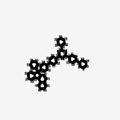 c1ccc(-c2ccc(-c3nc(-c4ccccc4)nc(-c4ccc(-c5ccc(C6(c7ccccc7)c7ccccc7-c7c6ccc6ccccc76)cc5)cc4)n3)cc2)cc1